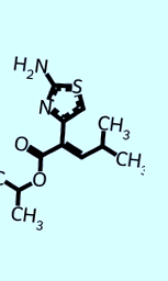 CC(C)/C=C(/C(=O)OC(C)C)c1csc(N)n1